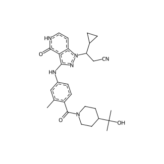 Cc1cc(Nc2nn(C(CC#N)C3CC3)c3cc[nH]c(=O)c23)ccc1C(=O)N1CCC(C(C)(C)O)CC1